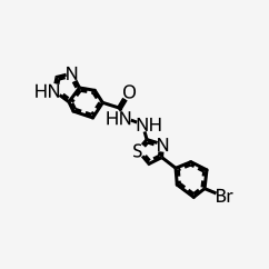 O=C(NNc1nc(-c2ccc(Br)cc2)cs1)c1ccc2[nH]cnc2c1